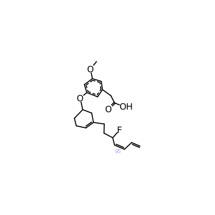 C=C/C=C\C(F)CCC1=CCCC(Oc2cc(CC(=O)O)cc(OC)c2)C1